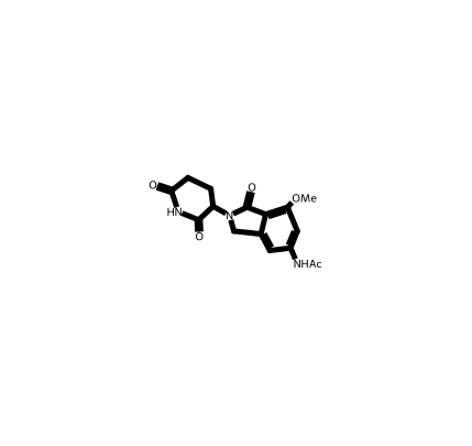 COc1cc(NC(C)=O)cc2c1C(=O)N(C1CCC(=O)NC1=O)C2